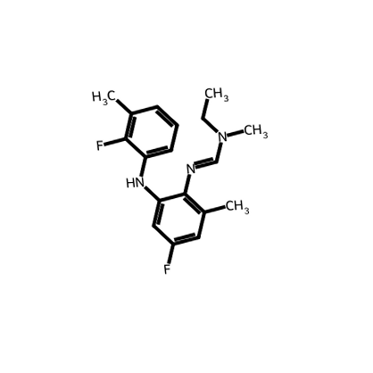 CCN(C)C=Nc1c(C)cc(F)cc1Nc1cccc(C)c1F